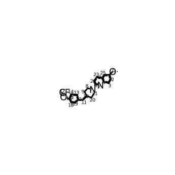 [O]c1ccc2nc(N3CCC(=Cc4ccc(OC(F)(F)F)cc4)CC3)ccc2c1